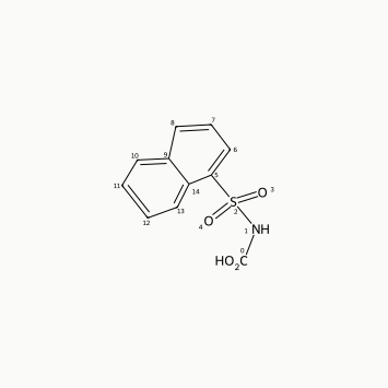 O=C(O)NS(=O)(=O)c1cccc2ccccc12